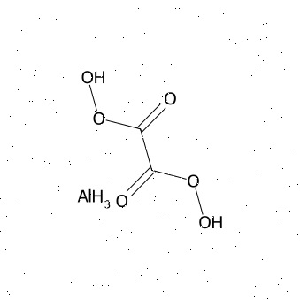 O=C(OO)C(=O)OO.[AlH3]